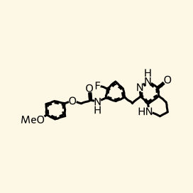 COc1ccc(OCC(=O)Nc2cc(Cc3n[nH]c(=O)c4c3NCCC4)ccc2F)cc1